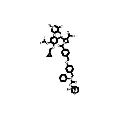 O=C(O)C1CN(C(=O)c2ccc(COc3ccc(CN(C(=O)O[C@H]4CN5CCC4CC5)c4ccccc4)cc3)cc2)C1[C@@H](Cc1c(Cl)c[n+]([O-])cc1Cl)c1ccc(OC(F)F)c(OCC2CC2)c1